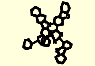 c1ccc(-c2ccc(-c3nc(-c4cc5oc6ccccc6c5cc4-n4c5cc6ccccc6cc5c5cc6ccccc6cc54)nc(-c4cccc5c4sc4ccccc45)n3)cc2)cc1